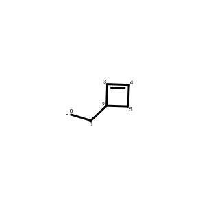 [CH2]CC1C=CC1